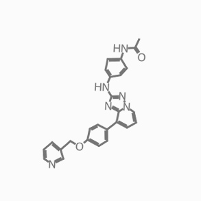 CC(=O)Nc1ccc(Nc2nc3c(-c4ccc(OCc5cccnc5)cc4)cccn3n2)cc1